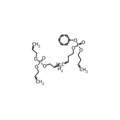 C=CCCOP(=O)(OCCC=C)Oc1ccccc1.C=CCOP(=O)(OCC=C)OCC=C